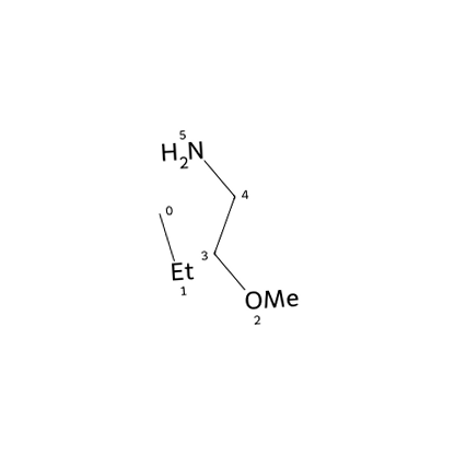 CCC.COCCN